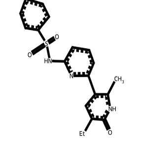 CCc1cc(-c2cccc(NS(=O)(=O)c3ccccc3)n2)c(C)[nH]c1=O